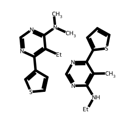 CCNc1ncnc(-c2cccs2)c1C.CCc1c(-c2ccsc2)ncnc1N(C)C